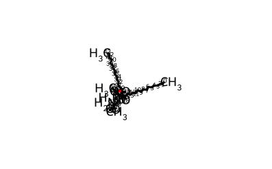 CCCCCCCCCCCCCCCC(=O)C(SSC[C@H](N)C(=O)OC)(C(=O)CCCCCCCCCCCCCCC)[C@H](N)C(=O)OC